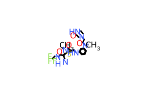 CCn1c(=C(C#N)C(=O)NCC(F)(F)F)sc(=CNc2cccc(N(C)C(=O)CN3CCNC(=O)C3)c2)c1=O